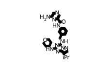 CC(C)c1cnn2c(NCc3cccc(NC(=O)c4cncc(N)n4)c3)nc(NC3CCOCC3)nc12